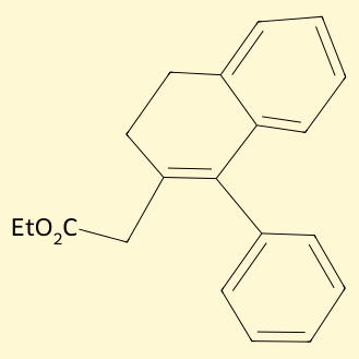 CCOC(=O)CC1=C(c2ccccc2)c2ccccc2CC1